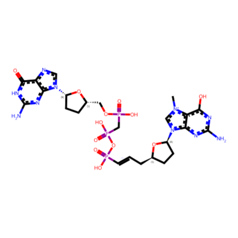 C[n+]1cn([C@H]2CC[C@@H](C/C=C/P(=O)(O)OP(=O)(O)CP(=O)(O)OC[C@@H]3CC[C@H](n4cnc5c(=O)[nH]c(N)nc54)O3)O2)c2nc(N)nc(O)c21